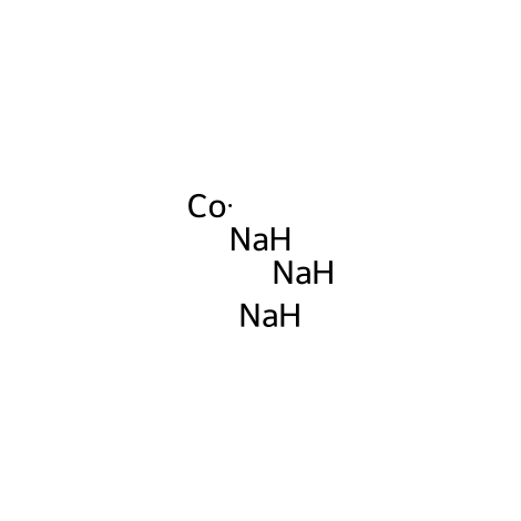 [Co].[NaH].[NaH].[NaH]